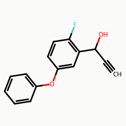 C#CC(O)c1cc(Oc2ccccc2)ccc1F